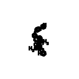 CN1C=CN2c3cc(CN4CCN(c5ccncc5)CC4)ccc3CCC(NC(=O)C3N=C(Cc4ccccc4)NN3C)C12